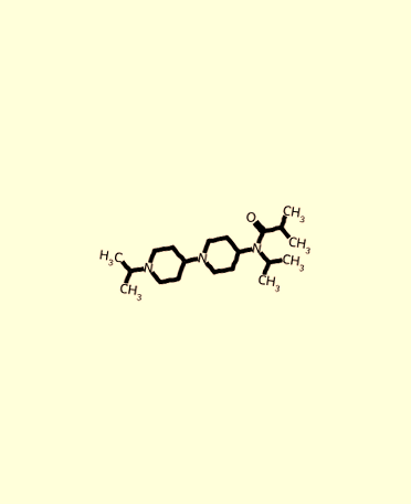 CC(C)C(=O)N(C(C)C)C1CCN(C2CCN(C(C)C)CC2)CC1